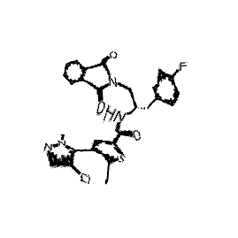 Cc1sc(C(=O)N[C@@H](Cc2ccc(F)cc2)CN2C(=O)c3ccccc3C2=O)cc1-c1c(Cl)cnn1C